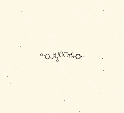 Cc1ccc(NC(=S)N2CCC3(CC2)CC(C(=O)NCc2ccc(Cl)cc2)=NO3)cc1